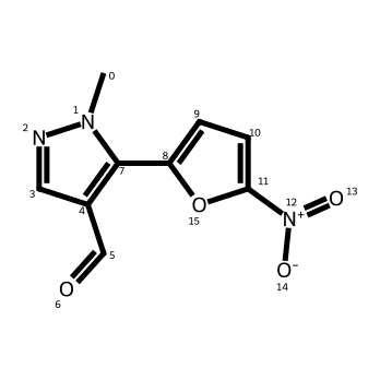 Cn1ncc(C=O)c1-c1ccc([N+](=O)[O-])o1